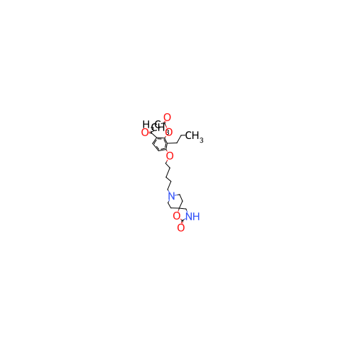 CCCc1c(OCCCCCN2CCC3(CC2)CNC(=O)O3)ccc(C(C)=O)c1OC(C)=O